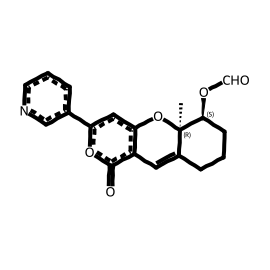 C[C@@]12Oc3cc(-c4cccnc4)oc(=O)c3C=C1CCC[C@@H]2OC=O